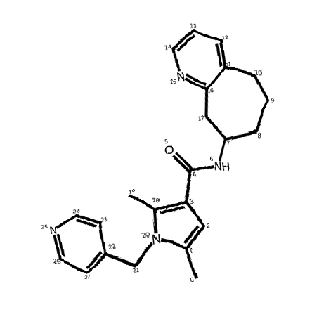 Cc1cc(C(=O)NC2CCCc3cccnc3C2)c(C)n1Cc1ccncc1